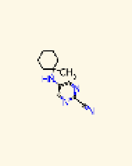 CC1(Nc2cnc(C#N)nc2)CCCCC1